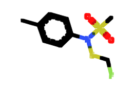 Cc1ccc(N(SCF)S(C)(=O)=O)cc1